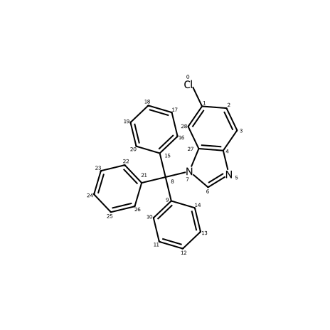 Clc1ccc2ncn(C(c3ccccc3)(c3ccccc3)c3ccccc3)c2c1